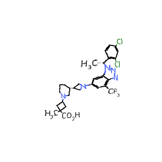 C[C@H](c1ccc(Cl)cc1Cl)n1nnc2c(C(F)(F)F)cc(N3CC([C@H]4CCCN(C5CC(C)(C(=O)O)C5)C4)C3)cc21